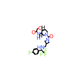 O=C1CO[C@H]2CCN(C(=O)N3CC(CNC(c4ccc(F)cc4)C(F)(F)F)C3)C[C@H]2N1